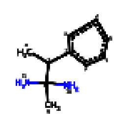 CC(c1ccccc1)C(C)(N)N